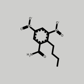 CCCCc1c(C(N)=O)cc([N+](=O)[O-])cc1[N+](=O)[O-]